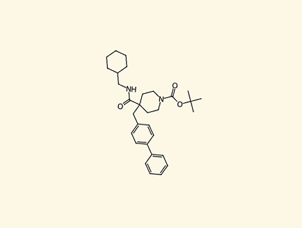 CC(C)(C)OC(=O)N1CCC(Cc2ccc(-c3ccccc3)cc2)(C(=O)NCC2CCCCC2)CC1